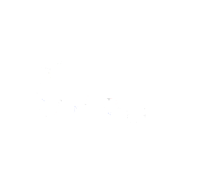 O=C(Cc1coc(-c2ccccc2)n1)NC[C@H]1CN(Cc2ccc(Cl)s2)CCO1